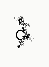 CC1(C)CC(=O)N(C[C@@H](NC(=O)N[C@H]2CCCCCCCCC[C@@H](C(=O)C(=O)NC3CC3)NC(=O)[C@@H]3[C@@H]4[C@H](CN3C2=O)C4(C)C)C(C)(C)C)C(=O)C1